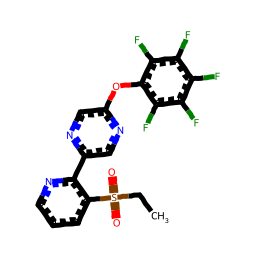 CCS(=O)(=O)c1cccnc1-c1cnc(Oc2c(F)c(F)c(F)c(F)c2F)cn1